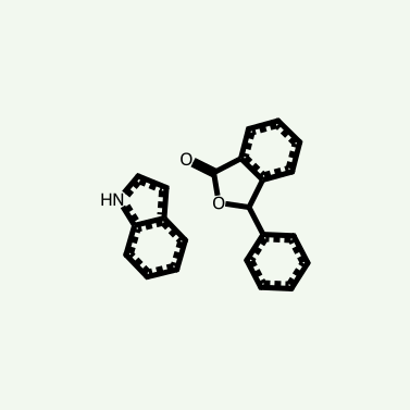 O=C1OC(c2ccccc2)c2ccccc21.c1ccc2[nH]ccc2c1